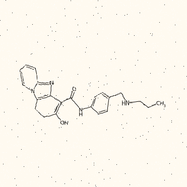 CCCNCc1ccc(NC(=O)C2=C(O)CCc3c2nc2ccccn32)cc1